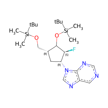 CC(C)(C)[Si](C)(C)OC[C@H]1C[C@@H](n2cnc3cncnc32)[C@H](F)C1O[Si](C)(C)C(C)(C)C